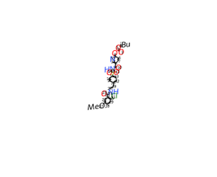 CC[C@@H](C)OC(=O)Oc1ccc(C(=O)NS(=O)(=O)c2ccc(CCNC(=O)c3cc(OC)ccc3Cl)cc2)cn1